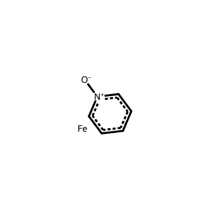 [Fe].[O-][n+]1ccccc1